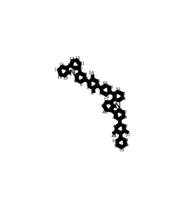 Cc1cc(-c2ccc3c(c2)c2cccc4c5ccccc5n3c42)c(C)cc1-c1ccc(-c2cccc3c2c2cccc4c5cc(-c6cc(C)c(-c7ccccc7)c(C)c6)ccc5n3c42)cc1